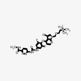 CNC(=O)c1ccc(NC(=O)Nc2cc(F)c(Oc3ccnc4c3c(Cl)cn4COCC[Si](C)(C)C)c(F)c2)nn1